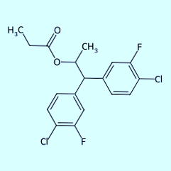 CCC(=O)OC(C)C(c1ccc(Cl)c(F)c1)c1ccc(Cl)c(F)c1